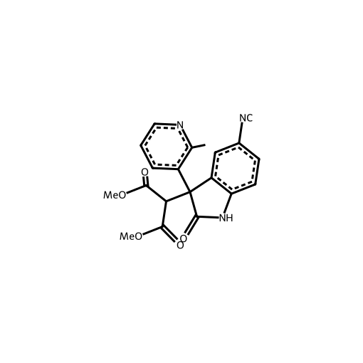 [C-]#[N+]c1ccc2c(c1)C(c1cccnc1C)(C(C(=O)OC)C(=O)OC)C(=O)N2